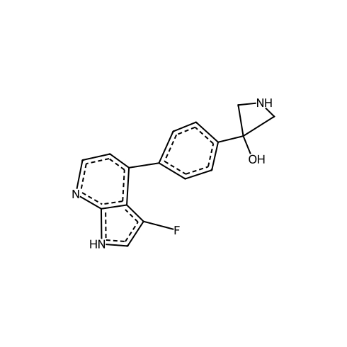 OC1(c2ccc(-c3ccnc4[nH]cc(F)c34)cc2)CNC1